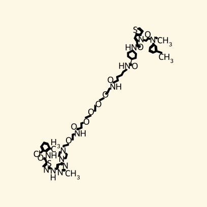 CCc1cccc(N(CC)C(=O)Cn2c(C(=O)N[C@H]3CC[C@H](C(=O)NCCCCCC(=O)NCCOCCOCCOCCOCCC(=O)NCCOCCN4CCN(c5cc(Nc6ncc(C(=O)Nc7c(C)cccc7Cl)s6)nc(C)n5)CC4)CC3)cc3sccc32)c1